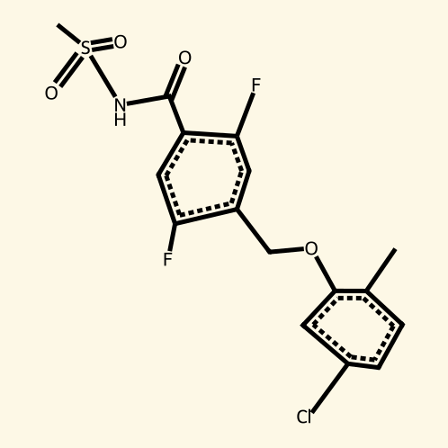 Cc1ccc(Cl)cc1OCc1cc(F)c(C(=O)NS(C)(=O)=O)cc1F